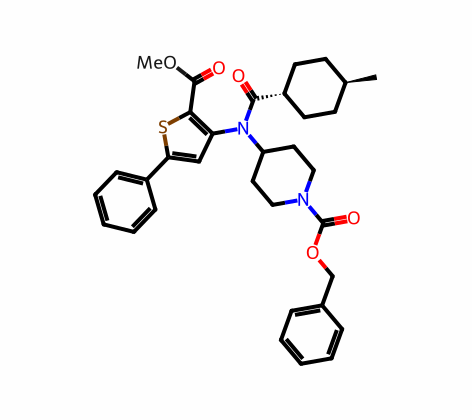 COC(=O)c1sc(-c2ccccc2)cc1N(C(=O)[C@H]1CC[C@H](C)CC1)C1CCN(C(=O)OCc2ccccc2)CC1